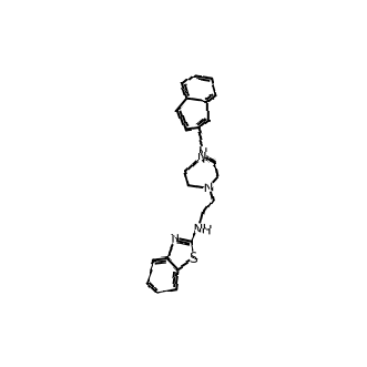 c1ccc2cc(N3CCN(CCNc4nc5ccccc5s4)CC3)ccc2c1